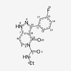 CCNC(=O)n1ccc2[nH]nc(-c3cccc(F)c3)c2c1=O